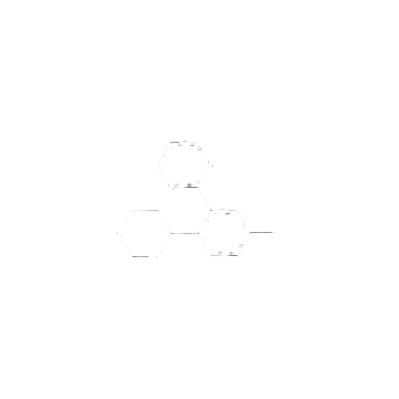 FC(F)(F)c1ccc(C2CCNCC2)c(-c2ncccn2)c1